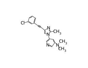 Cc1nc(C#Cc2cccc(Cl)c2)cn1-c1cncc(N(C)C)c1